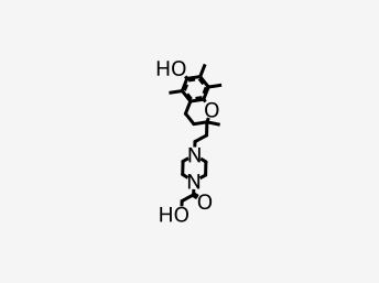 Cc1c(C)c2c(c(C)c1O)CCC(C)(CCN1CCN(C(=O)CO)CC1)O2